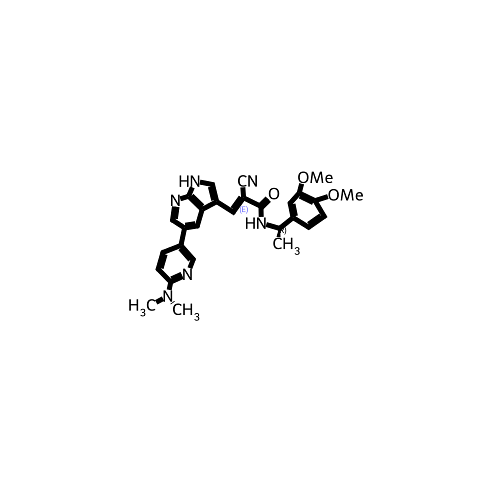 COc1ccc([C@@H](C)NC(=O)/C(C#N)=C/c2c[nH]c3ncc(-c4ccc(N(C)C)nc4)cc23)cc1OC